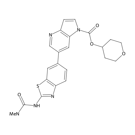 CNC(=O)Nc1nc2ccc(-c3cnc4ccn(C(=O)OC5CCOCC5)c4c3)cc2s1